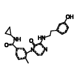 Cc1ccc(C(=O)NC2CC2)cc1-n1ccnc(NCCc2cccc(O)c2)c1=O